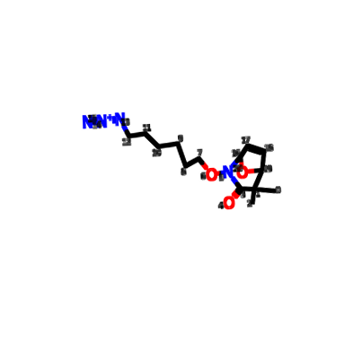 CC1(C)C(=O)N(OCCCCCCN=[N+]=[N-])C2C=CC1O2